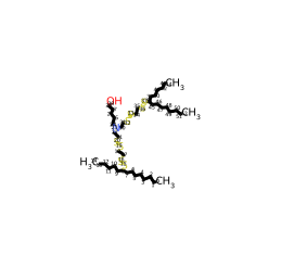 CCCCCCCCC(CCCCCC)SSCCSSCCN(CCCCCO)CCSSCCSSC(CCCCCC)CCCCCCCC